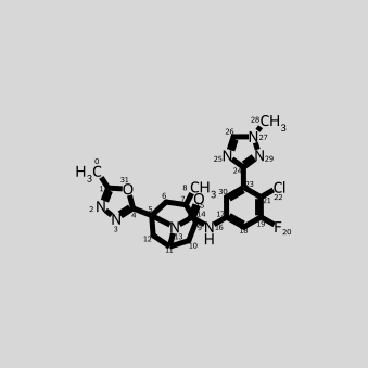 Cc1nnc(C23CC(C)CCC(C2)N3C(=O)Nc2cc(F)c(Cl)c(-c3ncn(C)n3)c2)o1